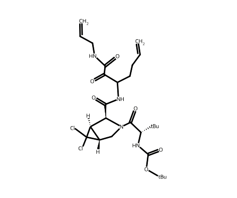 C=CCCC(NC(=O)[C@@H]1[C@H]2[C@H](CN1C(=O)[C@@H](NC(=O)OC(C)(C)C)C(C)(C)C)C2(Cl)Cl)C(=O)C(=O)NCC=C